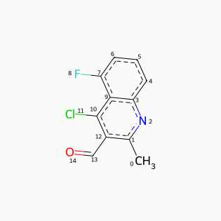 Cc1nc2cccc(F)c2c(Cl)c1C=O